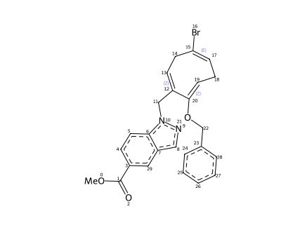 COC(=O)c1ccc2c(cnn2CC2=C/C/C(Br)=C\C\C=C\2OCc2ccccc2)c1